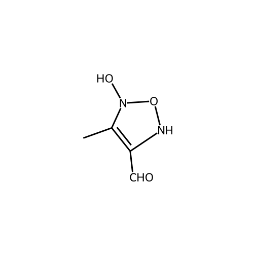 CC1=C(C=O)NON1O